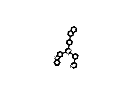 c1cncc(-c2cccc(-c3nc(-c4ccc(-c5ccc6ccccc6c5)cc4)cc(-c4ccc5sc6ccccc6c5c4)n3)c2)c1